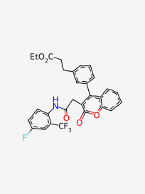 CCOC(=O)CCc1cccc(-c2c(CC(=O)Nc3ccc(F)cc3C(F)(F)F)c(=O)oc3ccccc23)c1